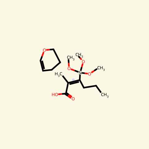 C1=COCCC1.CCC/C(=C(/C)C(=O)O)[Si](OC)(OC)OC